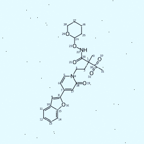 CC(CCn1ccc(-c2cc3ccccc3o2)cc1=O)(C(=O)NOC1CCCCO1)S(C)(=O)=O